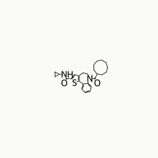 O=C(NC1CC1)c1cc2c(s1)-c1ccccc1N(C(=O)C1CCCCCCCC1)CC2